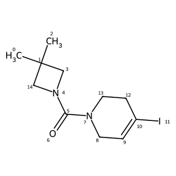 CC1(C)CN(C(=O)N2CC=C(I)CC2)C1